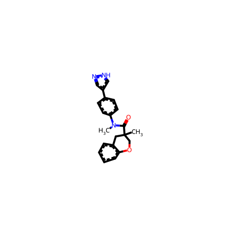 CN(C(=O)C1(C)COc2ccccc2C1)c1ccc(-c2cn[nH]c2)cc1